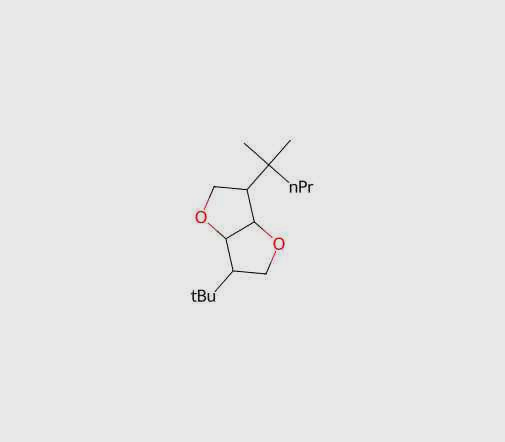 CCCC(C)(C)C1COC2C1OCC2C(C)(C)C